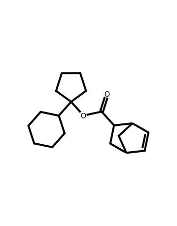 O=C(OC1(C2CCCCC2)CCCC1)C1CC2C=CC1C2